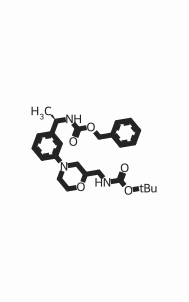 C[C@H](NC(=O)OCc1ccccc1)c1cccc(N2CCOC(CNC(=O)OC(C)(C)C)C2)c1